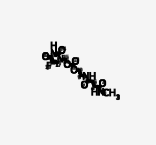 CNC(=O)CCC(=O)NCCOC(=O)OCn1cc(F)c(=O)[nH]c1=O